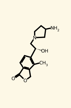 Cc1c([C@@H](O)CN2CCC(N)C2)ccc2c1COC2=O